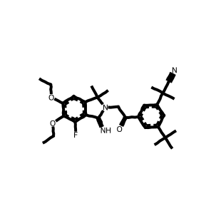 CCOc1cc2c(c(F)c1OCC)C(=N)N(CC(=O)c1cc(C(C)(C)C)cc(C(C)(C)C#N)c1)C2(C)C